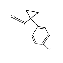 O=[C]C1(c2ccc(F)cc2)CC1